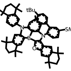 CSc1ccc(N2c3cc(C)cc4c3B(c3cc5c(cc3N4c3ccc4c(c3)C(C)(C)CCC4(C)C)C(C)(C)CCC5(C)C)c3oc4cc5c(cc4c32)C(C)(C)CCC5(C)C)c(-c2ccc(C(C)(C)C)cc2)c1